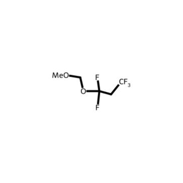 COCOC(F)(F)CC(F)(F)F